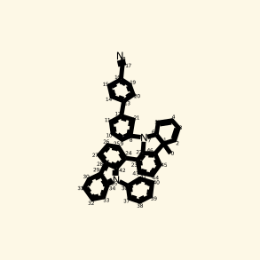 CC12C=CC=CC1N(c1cccc(-c3ccc(C#N)cc3)c1)c1c(-c3cccc4c5ccccc5n(-c5ccccc5)c34)cccc12